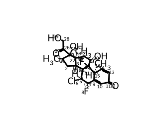 C[C@H]1C[C@H]2[C@@H]3[C@H](Cl)[C@@H](F)C4=CC(=O)C=C[C@]4(C)[C@@]3(F)[C@@H](O)C[C@]2(C)[C@@]1(O)C(=O)CO